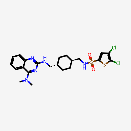 CN(C)c1nc(NC[C@H]2CC[C@H](CNS(=O)(=O)c3cc(Cl)c(Cl)s3)CC2)nc2ccccc12